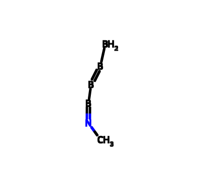 BB=BB=NC